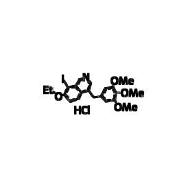 CCOc1ccc2c(Cc3cc(OC)c(OC)c(OC)c3)cncc2c1I.Cl